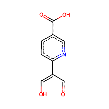 O=CC(=CO)c1ccc(C(=O)O)cn1